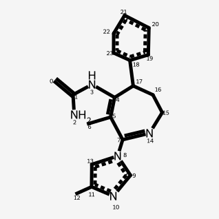 C=C(N)NC1=C(C)C(n2cnc(C)c2)=NCCC1c1ccccc1